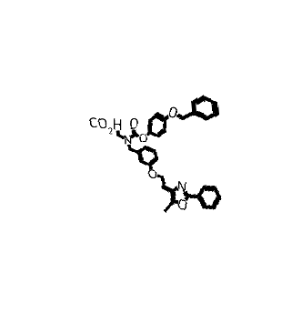 Cc1oc(-c2ccccc2)nc1CCOc1cccc(CN(CC(=O)O)C(=O)Oc2ccc(OCc3ccccc3)cc2)c1